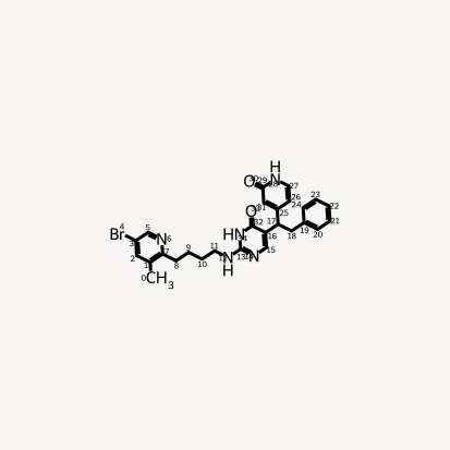 Cc1cc(Br)cnc1CCCCNc1ncc(C(Cc2ccccc2)c2cc[nH]c(=O)c2)c(=O)[nH]1